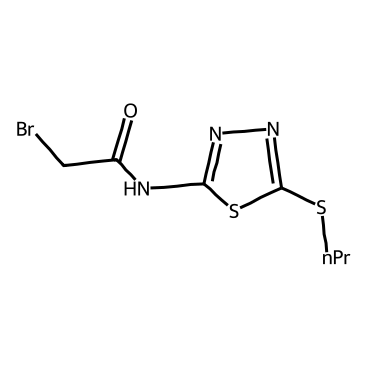 CCCSc1nnc(NC(=O)CBr)s1